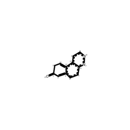 O=C1C=c2ccc3nnccc3c2=CC1